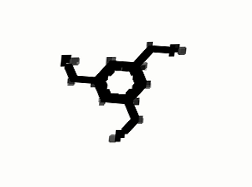 FCc1cc(CF)cc(CF)c1